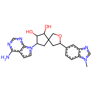 Cn1cnc2cc(C3CC4(CO3)CC(n3ccc5c(N)ncnc53)C(O)C4O)ccc21